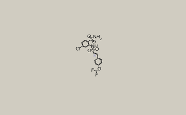 NS(=O)(=O)c1ccc(Cl)cc1NS(=O)(=O)/C=C/c1ccc(OC(F)F)cc1